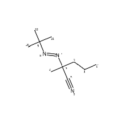 [CH2]CCC(C)(C#N)N=NC(C)(C)C